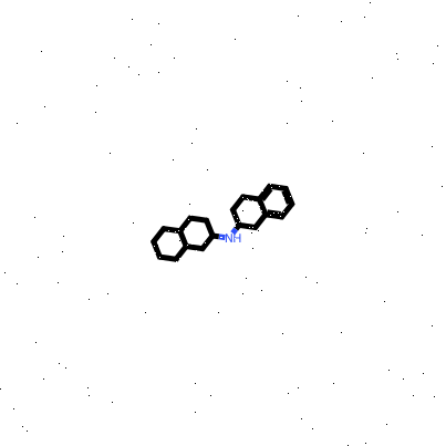 c1ccc2c(c1)CCC(NC1CCC3CCCCC3C1)C2